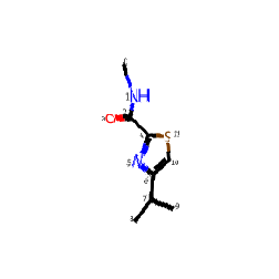 CNC(=O)c1nc(C(C)C)cs1